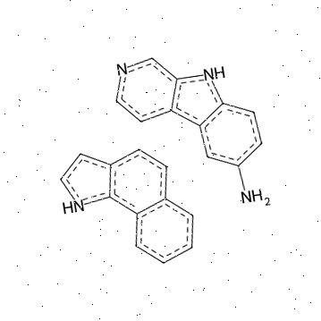 Nc1ccc2[nH]c3cnccc3c2c1.c1ccc2c(c1)ccc1cc[nH]c12